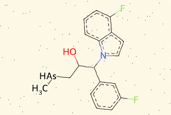 C[AsH]CC(O)C(c1cccc(F)c1)n1ccc2c(F)cccc21